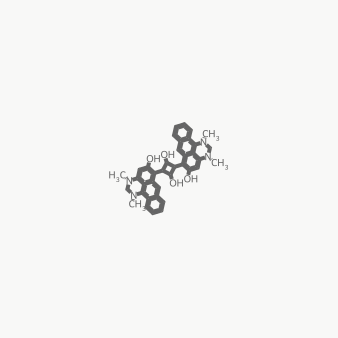 CN1CN(C)c2c3ccccc3cc3c(C4C(O)C(c5c(O)cc6c7c(c8ccccc8cc57)N(C)CN6C)C4O)c(O)cc1c23